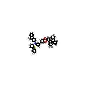 CC1(C)c2ccccc2-c2ccc(N(c3cccc(C4=CC5Oc6c(ccc7c6-c6ccccc6C76C7=CCCC=C7c7ccccc76)OC5C=C4)c3)c3cccc4c3sc3ccccc34)cc21